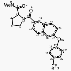 CNC(=O)[C@@H]1CCCN1C(=O)c1ccc2cc(Oc3ccc(C(F)(F)F)cn3)ccc2n1